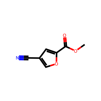 COC(=O)c1cc(C#N)co1